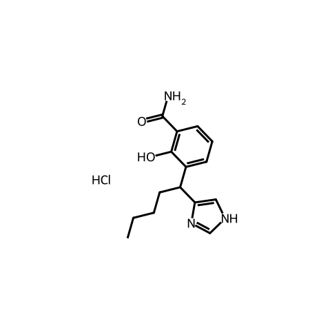 CCCCC(c1c[nH]cn1)c1cccc(C(N)=O)c1O.Cl